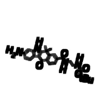 CC(C)(C)OC(=O)NCCNC(=O)c1ccc2c(c1)C(C)(C)c1[nH]c3cc(N)ccc3c1C2=O